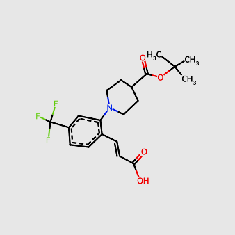 CC(C)(C)OC(=O)C1CCN(c2cc(C(F)(F)F)ccc2/C=C/C(=O)O)CC1